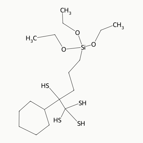 CCO[Si](CCCC(S)(C1CCCCC1)C(S)(S)S)(OCC)OCC